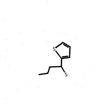 CCCC([S])c1cccs1